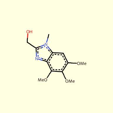 COc1cc2c(nc(CO)n2C)c(OC)c1OC